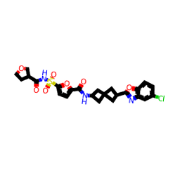 O=C(NC1CC2(C1)CC(c1nc3cc(Cl)ccc3o1)C2)c1ccc(S(=O)(=O)NC(=O)C2CCOC2)o1